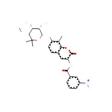 CO[C@@H]1[C@@H](O)[C@@H](O)[C@H](Oc2ccc3cc(NC(=O)c4cccc([N+](=O)[O-])c4)c(=O)oc3c2C)OC1(C)C